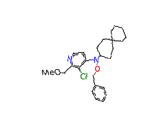 COCc1nccc(N(OCc2ccccc2)C2CCC3(CCCCC3)CC2)c1Cl